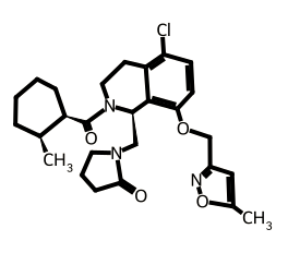 Cc1cc(COc2ccc(Cl)c3c2[C@@H](CN2CCCC2=O)N(C(=O)[C@@H]2CCCC[C@@H]2C)CC3)no1